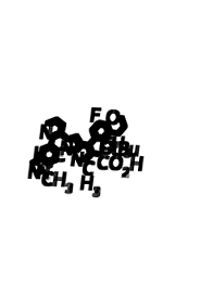 Cc1nc2c(cc(-c3cccnc3-c3ccc4c(cnn4C)c3)n2C)c(-c2cc(F)c3c(c2C)CCCO3)c1[C@H](OC(C)(C)C)C(=O)O